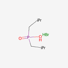 Br.CC(C)CP(=O)(O)CC(C)C